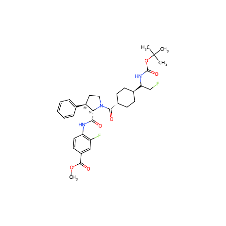 COC(=O)c1ccc(NC(=O)[C@@H]2[C@@H](c3ccccc3)CCN2C(=O)[C@H]2CC[C@H](C(CF)NC(=O)OC(C)(C)C)CC2)c(F)c1